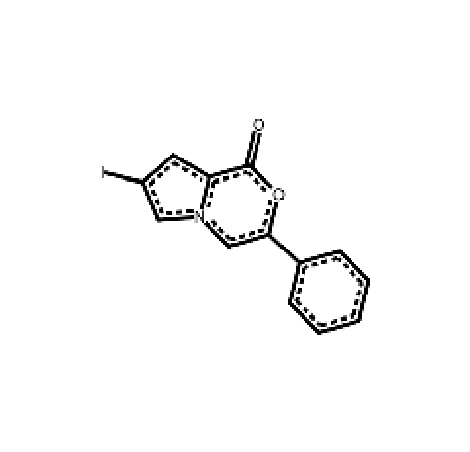 O=c1oc(-c2ccccc2)cn2cc(I)cc12